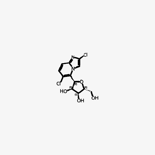 OC[C@H]1O[C@H](c2c(Cl)ccc3nc(Cl)cn23)[C@H](O)[C@@H]1O